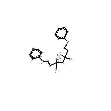 CC(C)(CCOc1ccccc1)CC(C)(C)CCOc1ccccc1